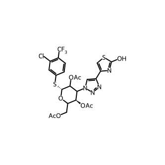 CC(=O)OCC1O[C@H](Sc2ccc(C(F)(F)F)c(Cl)c2)C(OC(C)=O)C(n2cc(-c3csc(O)n3)nn2)[C@H]1OC(C)=O